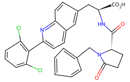 O=C(O)[C@H](Cc1ccc2nc(-c3c(Cl)cccc3Cl)ccc2c1)NC(=O)[C@@H]1CCC(=O)N1Cc1ccccc1